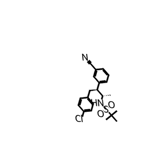 C[C@H](NS(=O)(=O)C(C)(C)C)[C@@H](Cc1ccc(Cl)cc1)c1cccc(C#N)c1